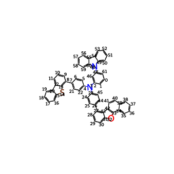 c1cc(N(c2ccc(-c3cccc4c3sc3ccccc34)cc2)c2ccc(-c3cccc4oc5c6ccccc6ccc5c34)cc2)cc(-n2c3ccccc3c3ccccc32)c1